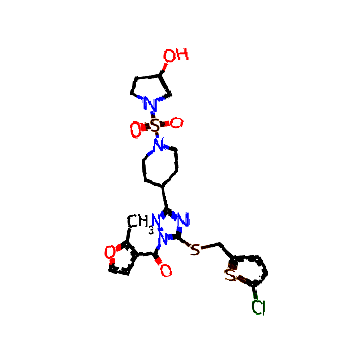 Cc1occc1C(=O)n1nc(C2CCN(S(=O)(=O)N3CCC(O)C3)CC2)nc1SCc1ccc(Cl)s1